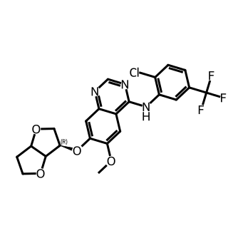 COc1cc2c(Nc3cc(C(F)(F)F)ccc3Cl)ncnc2cc1O[C@@H]1COC2CCOC21